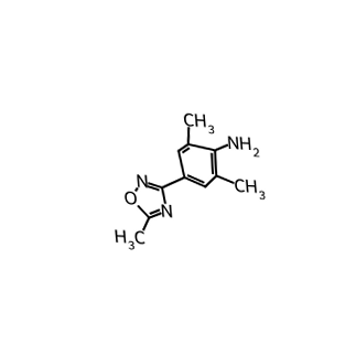 Cc1nc(-c2cc(C)c(N)c(C)c2)no1